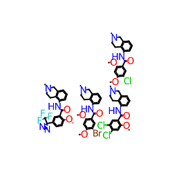 COc1cc(Cl)c(Cl)cc1C(=O)Nc1cccc2c1CCN(C)C2.COc1cc(OC)c(C(=O)Nc2cccc3c2CCN(C)C3)cc1Br.COc1cc(OC)c(C(=O)Nc2cccc3c2CCN(C)C3)cc1Cl.COc1ccc(C2(C(F)(F)F)N=N2)cc1C(=O)Nc1cccc2c1CCN(C)C2